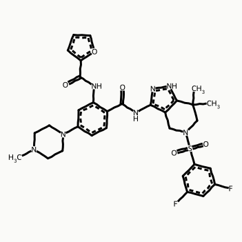 CN1CCN(c2ccc(C(=O)Nc3n[nH]c4c3CN(S(=O)(=O)c3cc(F)cc(F)c3)CC4(C)C)c(NC(=O)c3ccco3)c2)CC1